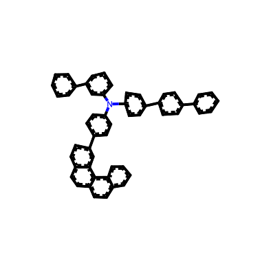 c1ccc(-c2ccc(-c3ccc(N(c4ccc(-c5ccc6ccc7ccc8ccccc8c7c6c5)cc4)c4cccc(-c5ccccc5)c4)cc3)cc2)cc1